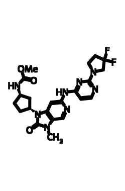 COC(=O)N[C@@H]1CC[C@@H](n2c(=O)n(C)c3cnc(Nc4ccnc(N5CCC(F)(F)C5)n4)cc32)C1